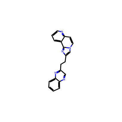 c1ccc2nc(CCc3cn4ccc5ncccc5c4n3)cnc2c1